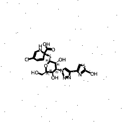 O=C(O)C1(S[C@H]2O[C@H](CO)[C@H](O)[C@H](n3cc(-c4csc(O)n4)nn3)[C@H]2O)C=CC(Cl)=CN1